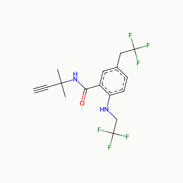 C#CC(C)(C)NC(=O)c1cc(CC(F)(F)F)ccc1NCC(F)(F)F